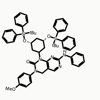 COc1ccc(N2Cc3cnc(Nc4ccccc4)nc3N(C3C[C@@H](O[Si](c4ccccc4)(c4ccccc4)C(C)(C)C)C[C@@H](O[Si](c4ccccc4)(c4ccccc4)C(C)(C)C)C3)C2=O)cc1